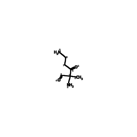 CC(N)([C]=O)C(=O)CCN